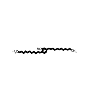 CCCCCCCCCCCCc1ccc(CCCCCCCCCCCC)c(O)c1